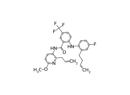 C=CCCc1cc(F)ccc1Nc1ccc(C(F)(F)F)cc1C(=O)Nc1ccc(OC)nc1CC=C